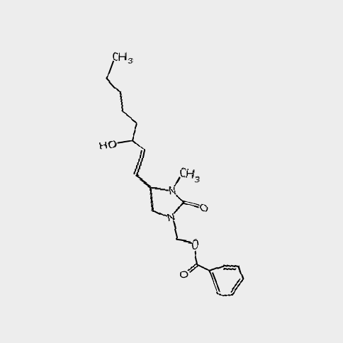 CCCCCC(O)C=CC1CN(COC(=O)c2ccccc2)C(=O)N1C